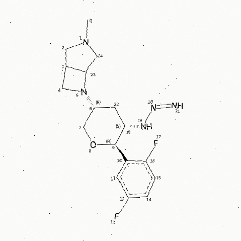 CN1CC2CN([C@H]3CO[C@H](c4cc(F)ccc4F)[C@@H](NN=N)C3)C2C1